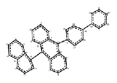 c1ccc2c(-c3c4ccccc4c(-c4ccc(-c5ccncc5)cc4)c4ccccc34)cccc2c1